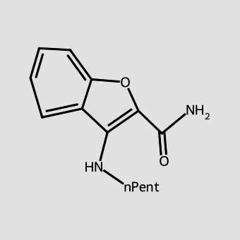 CCCCCNc1c(C(N)=O)oc2ccccc12